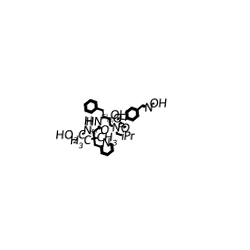 CC(C)CN(C[C@@H](O)[C@H](Cc1ccccc1)NC(=O)[C@@H](NC(=O)O)C(C)(C)Cc1ccccn1)S(=O)(=O)c1ccc(C=NO)cc1